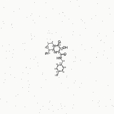 CC(C)C1OCCn2c1nc(C(=O)NCc1ccc(F)cc1)c(O)c2=O